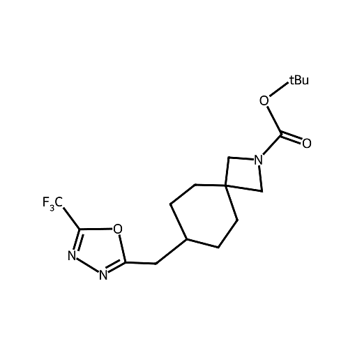 CC(C)(C)OC(=O)N1CC2(CCC(Cc3nnc(C(F)(F)F)o3)CC2)C1